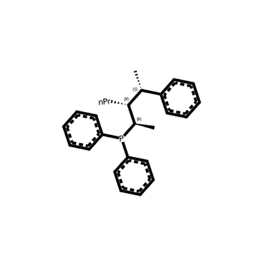 CCC[C@H]([C@H](C)c1ccccc1)[C@@H](C)P(c1ccccc1)c1ccccc1